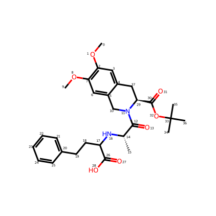 COc1cc2c(cc1OC)CN(C(=O)[C@H](C)NC(CCc1ccccc1)C(=O)O)[C@H](C(=O)OC(C)(C)C)C2